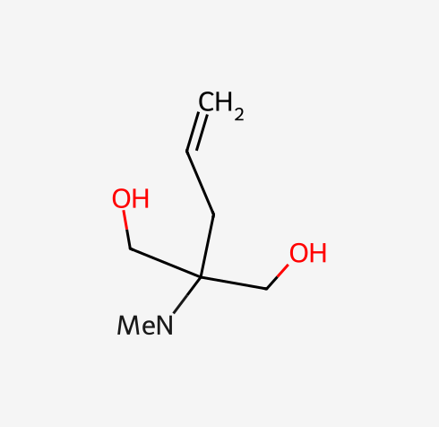 C=CCC(CO)(CO)NC